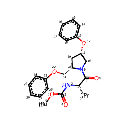 CC(C)[C@H](NC(=O)OC(C)(C)C)C(=O)N1C[C@@H](Oc2ccccc2)C[C@H]1COc1ccccc1